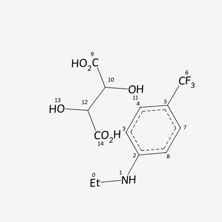 CCNc1ccc(C(F)(F)F)cc1.O=C(O)C(O)C(O)C(=O)O